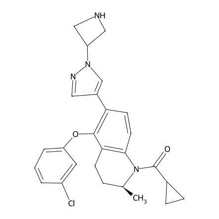 C[C@H]1CCc2c(ccc(-c3cnn(C4CNC4)c3)c2Oc2cccc(Cl)c2)N1C(=O)C1CC1